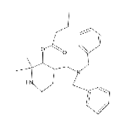 CCCC(=O)OC1C(CN(Cc2ccccc2)Cc2ccccc2)CCNC1(C)C